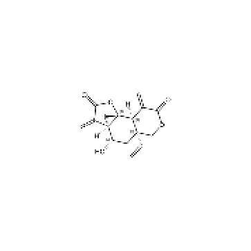 C=C[C@@]12COC(=O)C(=C)[C@@H]1[C@H]1OC(=O)C(=C)[C@@H]1[C@@H](O)C2